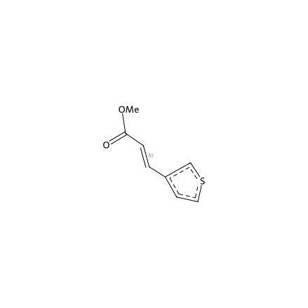 COC(=O)/C=C/c1ccsc1